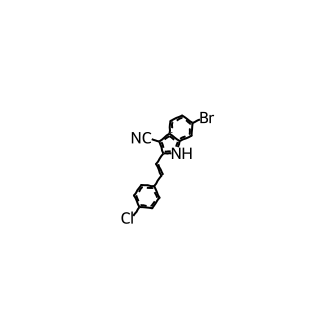 N#Cc1c(C=Cc2ccc(Cl)cc2)[nH]c2cc(Br)ccc12